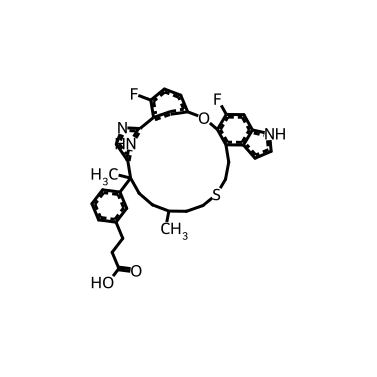 CC1CCSCCc2c(c(F)cc3[nH]ccc23)Oc2ccc(F)c(c2)-c2ncc([nH]2)C(C)(c2cccc(CCC(=O)O)c2)CC1